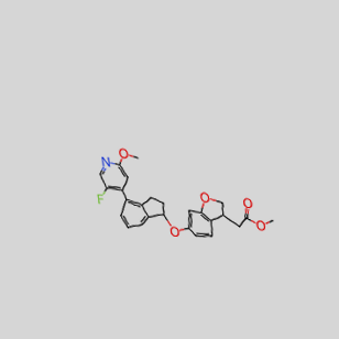 COC(=O)CC1COc2cc(OC3CCc4c(-c5cc(OC)ncc5F)cccc43)ccc21